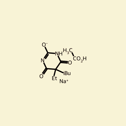 CC(=O)O.CCC(C)C1(CC)C(=O)N=C([O-])NC1=O.[Na+]